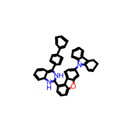 C1=CC2=C(c3ccc(-c4ccccc4)cc3)NC(c3cccc4oc5cc(-n6c7c(c8ccccc86)CCC=C7)ccc5c34)NC2C=C1